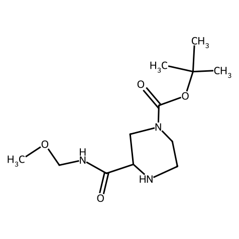 COCNC(=O)C1CN(C(=O)OC(C)(C)C)CCN1